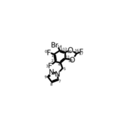 Fc1c(F)c(Cn2cccn2)c2c(c1Br)OC(F)O2